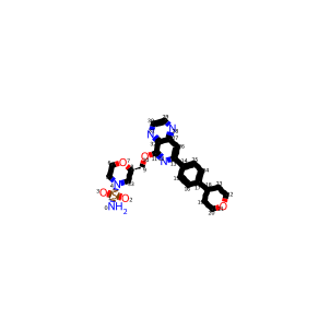 NS(=O)(=O)N1CCO[C@H](COc2nc(-c3ccc(C4CCOCC4)cc3)cc3nccnc23)C1